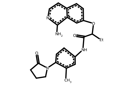 CCC(Oc1ccc2ccnc(N)c2c1)C(=O)Nc1ccc(N2CCCC2=O)c(C)c1